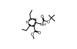 CCc1cc(NC(=O)OC(C)(C)C)c(C(=O)OC)c(CC)n1